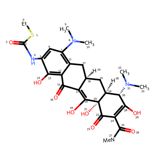 CCSC(=O)Nc1cc(N(C)C)c2c(c1O)C(=O)C1=C(O)[C@]3(O)C(=O)C(C(=O)NC)=C(O)[C@@H](N(C)C)[C@@H]3C[C@@H]1C2